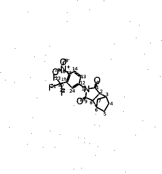 O=C1C2C3CCC(C3)C2C(=O)N1c1ccc([N+](=O)[O-])c(C(F)(F)F)c1